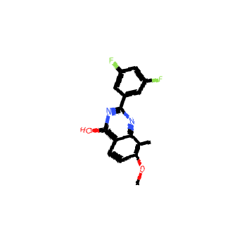 COc1ccc2c(O)nc(-c3cc(F)cc(F)c3)nc2c1C